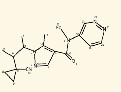 CCN(C(=O)c1cnn(C(C)C(C)C2(C#N)CC2)c1C)c1ccnnc1